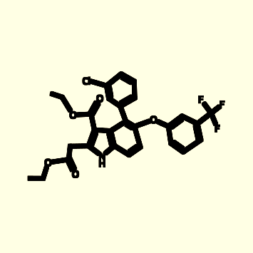 CCOC(=O)Cc1[nH]c2ccc(Oc3cccc(C(F)(F)F)c3)c(-c3cccc(Cl)c3)c2c1C(=O)OCC